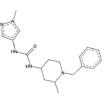 CC1CC(NC(=O)Nc2cnn(C)c2)CCN1Cc1ccccc1